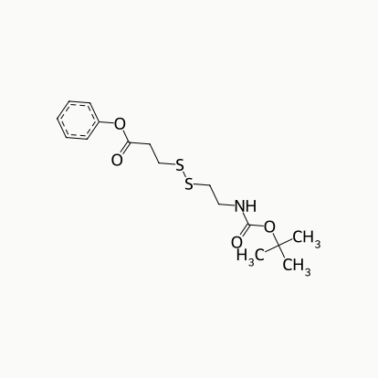 CC(C)(C)OC(=O)NCCSSCCC(=O)Oc1ccccc1